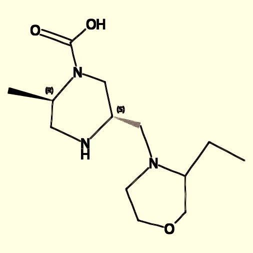 CCC1COCCN1C[C@H]1CN(C(=O)O)[C@H](C)CN1